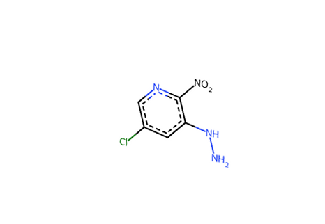 NNc1cc(Cl)cnc1[N+](=O)[O-]